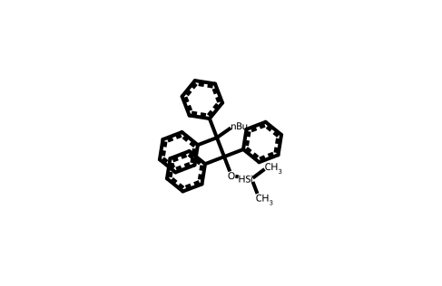 CCCCC(c1ccccc1)(c1ccccc1)C(O[SiH](C)C)(c1ccccc1)c1ccccc1